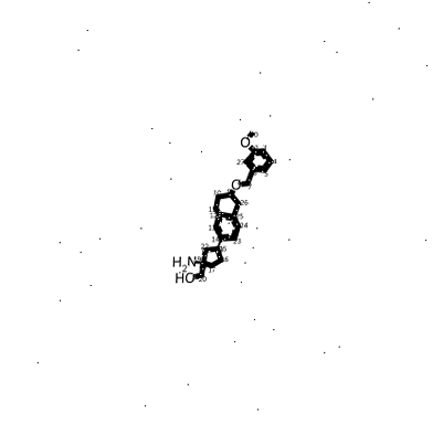 COc1cccc(COC2CCc3cc([C@H]4CC[C@](N)(CO)C4)ccc3C2)c1